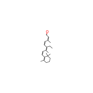 CCC(/C=C\C(C)=C/C=O)=C(C)/C=C\C1=C(C)CCCC1(C)C